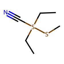 CCS(C#N)(CC)SC